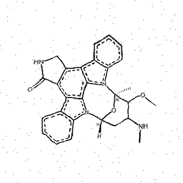 CNC1C[C@H]2O[C@](C)(C1OC)n1c3ccccc3c3c4c(c5c6ccccc6n2c5c31)C(=O)NC4